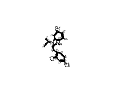 CC(C)n1c(Cc2ccc(Cl)cc2Cl)nc2ccc(Br)cc21